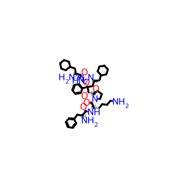 NCCCC[C@H](NC(=O)[C@@H](N)Cc1ccccc1)C(=O)N1CCC[C@H]1C(=O)C(ONC(=O)[C@@H](N)CC1CCCCC1)(C(=O)[C@H](N)CC1CCCCC1)c1ccccc1